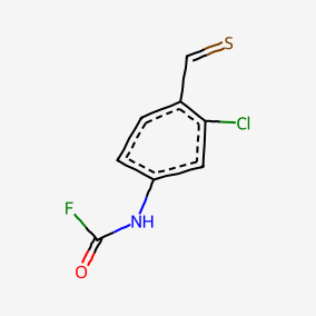 O=C(F)Nc1ccc(C=S)c(Cl)c1